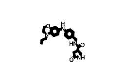 CCCN1CCOc2cc(Nc3ccc(CNC(=O)C4CNC(=O)C4)cc3)ccc21